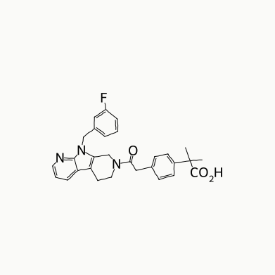 CC(C)(C(=O)O)c1ccc(CC(=O)N2CCc3c(n(Cc4cccc(F)c4)c4ncccc34)C2)cc1